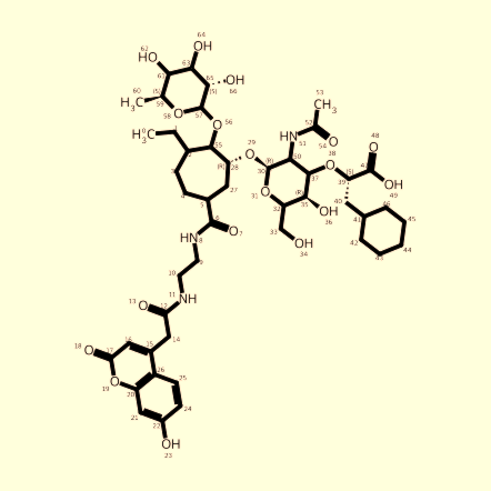 CCC1CCC(C(=O)NCCNC(=O)Cc2cc(=O)oc3cc(O)ccc23)C[C@@H](O[C@@H]2OC(CO)[C@H](O)C(O[C@@H](CC3CCCCC3)C(=O)O)C2NC(C)=O)C1OC1O[C@@H](C)C(O)C(O)[C@@H]1O